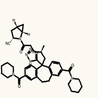 C[C@@H](CC1(c2nnn[nH]2)c2ccc(C(=O)N3CCCCC3)cc2CCc2cc(C(=O)N3CCCCC3)ccc21)NCC(=O)N1[C@H](C#N)C[C@@H]2C[C@@H]21